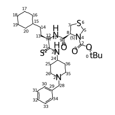 CC(C)(C)OC(=O)N1CSC[C@@H]1C(=O)N[C@H](CCC1CCCCC1)C(=S)NC1CCN(Cc2ccccc2)CC1